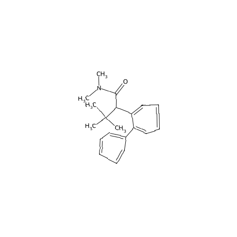 CN(C)C(=O)C(c1ccccc1-c1ccccc1)C(C)(C)C